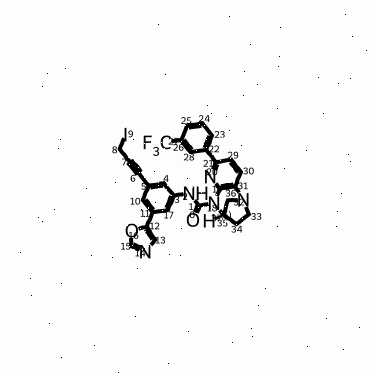 O=C(Nc1cc(C#CCI)cc(-c2cnco2)c1)N1c2nc(-c3cccc(C(F)(F)F)c3)ccc2N2CC[C@H]1C2